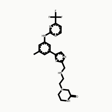 Cc1cc(Nc2nccc(C(F)(F)F)n2)cc(-c2cnc(CNCCN3CCNC(=O)C3)s2)c1